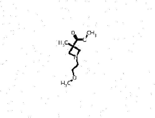 COCCN1CC(C)(C(=O)OC)C1